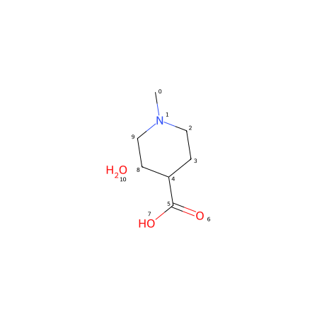 CN1CCC(C(=O)O)CC1.O